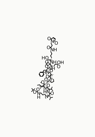 CC[C@H](C)[C@@H]([C@@H](CC(=O)N1CCC[C@H]1[C@H](OC)[C@@H](C)C(=O)N[C@@H](Cc1ccccc1)C(=O)N[C@@H](CCC(=O)O)C(=O)N[C@@H](CCCCNC(=O)CCN1C(=O)C=CC1=O)C(=O)O)OC)N(C)C(=O)[C@@H](NC(=O)[C@H](C(C)C)N(C)CCCNC(=O)OC(C)(C)C)C(C)C